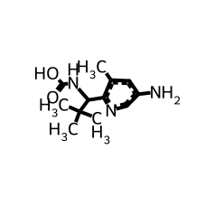 Cc1cc(N)cnc1C(NC(=O)O)C(C)(C)C